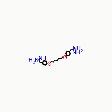 N=C(N)Cc1ccc(OCCCCCCCOc2ccc(CC(=N)N)cc2)cc1